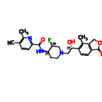 Cc1nc(C(=O)N[C@@H]2CCN(C[C@H](O)c3ccc4c(c3C)COC4=O)C[C@@H]2F)ccc1C#N